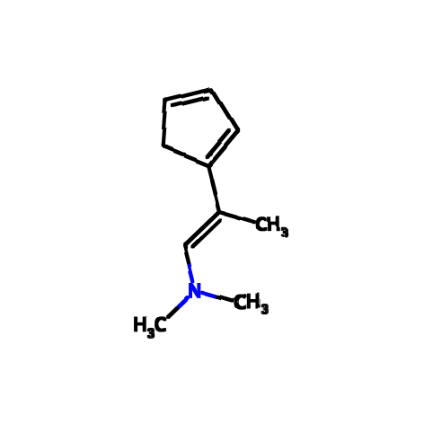 C/C(=C\N(C)C)C1=CC=CC1